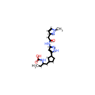 CCC(CC1CCC(c2cc(NC(=O)Cc3ccn(C)n3)n[nH]2)C1)NC(=O)O